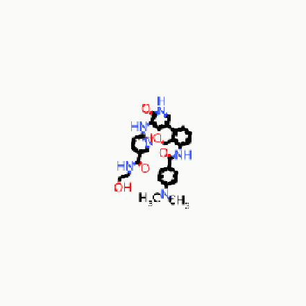 CN(C)c1ccc(C(=O)Nc2cccc(-c3c[nH]c(=O)c(Nc4ccc(C(=O)NCCO)cn4)c3)c2CO)cc1